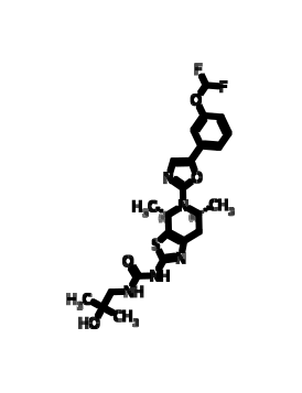 C[C@@H]1Cc2nc(NC(=O)NCC(C)(C)O)sc2[C@H](C)N1c1ncc(-c2cccc(OC(F)F)c2)o1